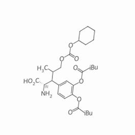 CCC(C)C(=O)Oc1ccc(C(C(C)COC(=O)OC2CCCCC2)[C@H](N)C(=O)O)cc1OC(=O)C(C)CC